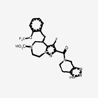 O=C(O)N1CCn2nc(C(=O)N3CCc4[nH]nnc4C3)c(F)c2C(Cc2ccccc2OC(F)(F)F)C1